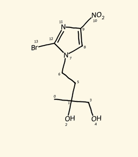 CC(O)(CO)CCn1cc([N+](=O)[O-])nc1Br